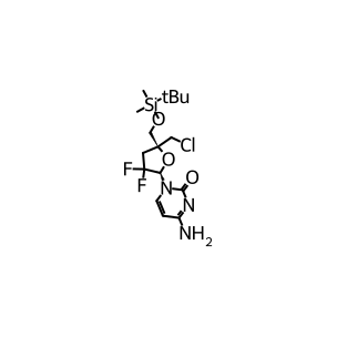 CC(C)(C)[Si](C)(C)OC[C@]1(CCl)CC(F)(F)[C@H](n2ccc(N)nc2=O)O1